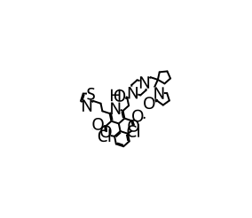 COC(=O)C1=C(CCc2nccs2)NC(CC(=O)N2CCN(CC3(CN4CCCC4=O)CCCC3)CC2)=C(C(=O)OC)C1c1c(Cl)cccc1Cl